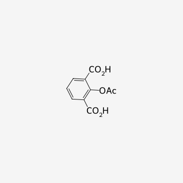 CC(=O)Oc1c(C(=O)O)cccc1C(=O)O